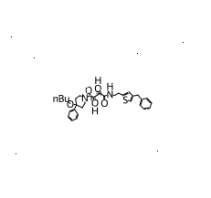 CCCCOC1(c2ccccc2)CCN(C(=O)[C@H](O)[C@@H](O)C(=O)NCCc2cc(Cc3ccccc3)cs2)CC1